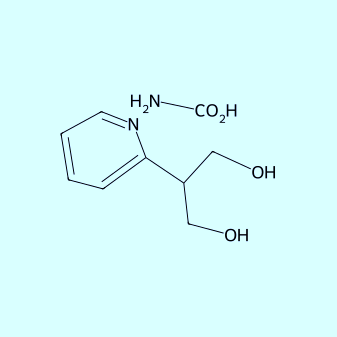 NC(=O)O.OCC(CO)c1ccccn1